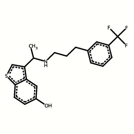 CC(NCCCc1cccc(C(F)(F)F)c1)c1csc2ccc(O)cc12